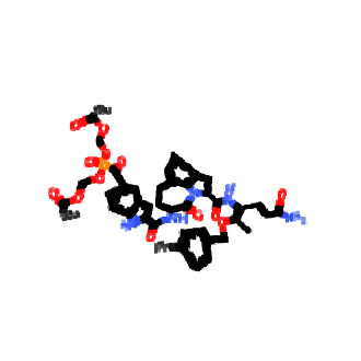 CC(C)c1ccc(CO[C@H](C)[C@H](CCC(N)=O)NC(=O)[C@@H]2Cc3cccc4c3N2C(=O)[C@@H](NC(=O)c2cc3cc(C(=O)P(=O)(OCOC(=O)C(C)(C)C)OCOC(=O)C(C)(C)C)ccc3[nH]2)CC4)cc1